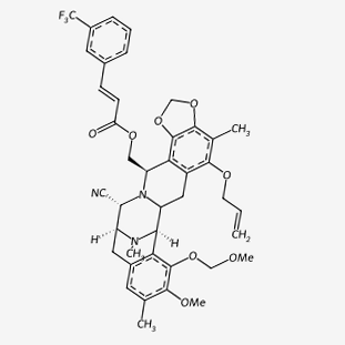 C=CCOc1c(C)c2c(c3c1CC1[C@H]4c5c(cc(C)c(OC)c5OCOC)C[C@@H]([C@H](C#N)N1[C@H]3COC(=O)/C=C/c1cccc(C(F)(F)F)c1)N4C)OCO2